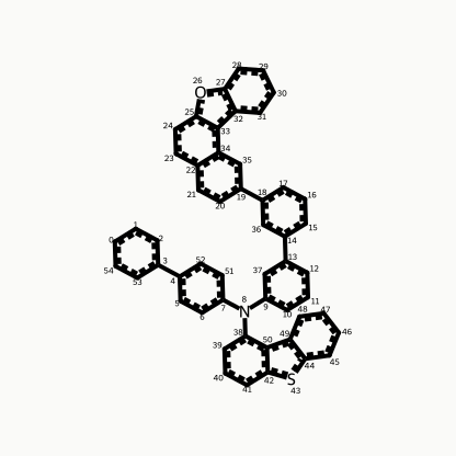 c1ccc(-c2ccc(N(c3cccc(-c4cccc(-c5ccc6ccc7oc8ccccc8c7c6c5)c4)c3)c3cccc4sc5ccccc5c34)cc2)cc1